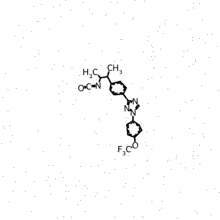 CC(N=C=O)C(C)c1ccc(-c2ncn(-c3ccc(OC(F)(F)F)cc3)n2)cc1